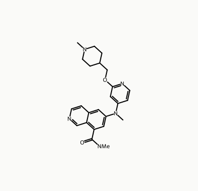 CNC(=O)c1cc(N(C)c2ccnc(OCC3CCN(C)CC3)c2)cc2ccncc12